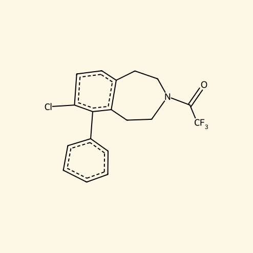 O=C(N1CCc2ccc(Cl)c(-c3ccccc3)c2CC1)C(F)(F)F